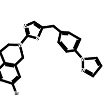 Brc1ccc2c(c1)CN(c1ncc(Cc3ccc(-n4cccn4)cc3)s1)CC2